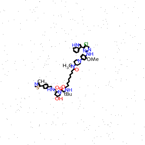 COc1cc(N2CCC(N(C)C(=O)CCCCCCCCC(=O)N[C@H](C(=O)N3C[C@H](O)C[C@H]3C(=O)NCc3ccc(-c4scnc4C)cc3)C(C)(C)C)CC2)ccc1Nc1ncc(Cl)c(-c2c[nH]c3ccccc23)n1